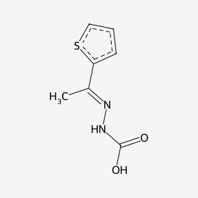 CC(=NNC(=O)O)c1cccs1